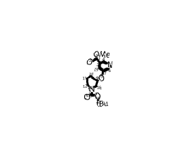 COC(=O)c1cncc(OC2CCCN(C(=O)OC(C)(C)C)C2)c1